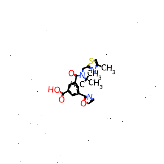 Cc1csc(CN(C(=O)c2cc(C(=O)O)cc(-c3ncco3)c2)C(C)(C)C)n1